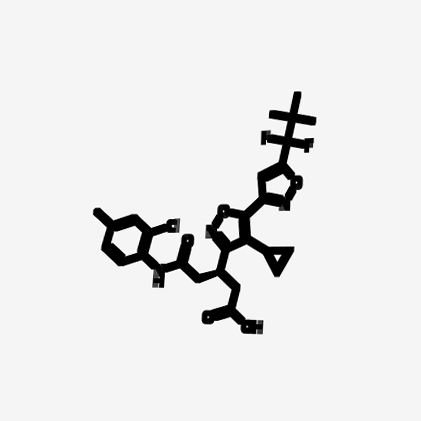 Cc1ccc(NC(=O)C[C@H](CC(=O)O)c2noc(-c3cc(C(F)(F)C(C)(C)C)on3)c2C2CC2)c(Cl)c1